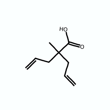 C=CCC(C)(CC=C)C(=O)O